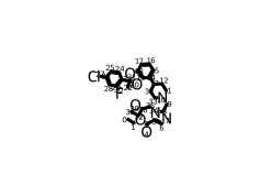 CCOC(=O)c1cnc(CN2CCC(c3cccc4c3OC(C)(c3ccc(Cl)cc3F)O4)CC2)n1CC1CCO1